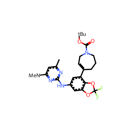 CNc1cc(C)nc(Nc2cc3c(c(C4=CCN(C(=O)OC(C)(C)C)CCC4)c2)OC(F)(F)O3)n1